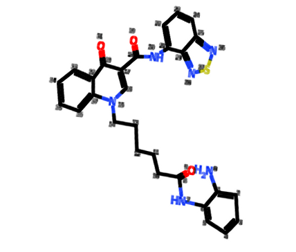 Nc1ccccc1NC(=O)CCCCCn1cc(C(=O)Nc2cccc3nsnc23)c(=O)c2ccccc21